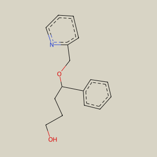 OCCCC(OCc1ccccn1)c1ccccc1